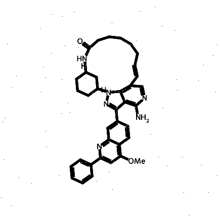 COc1cc(-c2ccccc2)nc2cc(-c3nn4c5c(cnc(N)c35)/C=C/CCCCCC(=O)N[C@@H]3CCC[C@@H]4C3)ccc12